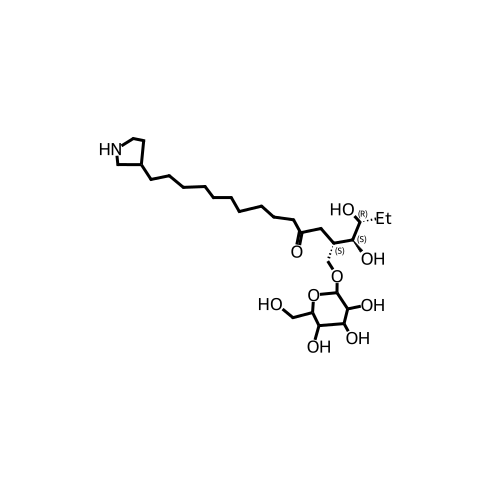 CC[C@@H](O)[C@@H](O)[C@H](COC1OC(CO)C(O)C(O)C1O)CC(=O)CCCCCCCCCCC1CCNC1